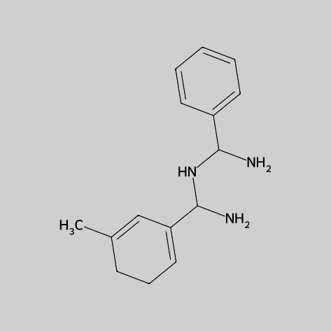 CC1=CC(C(N)NC(N)c2ccccc2)=CCC1